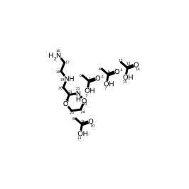 CC(=O)O.CC(=O)O.CC(=O)O.CC(=O)O.NCCNCC1NOCCO1